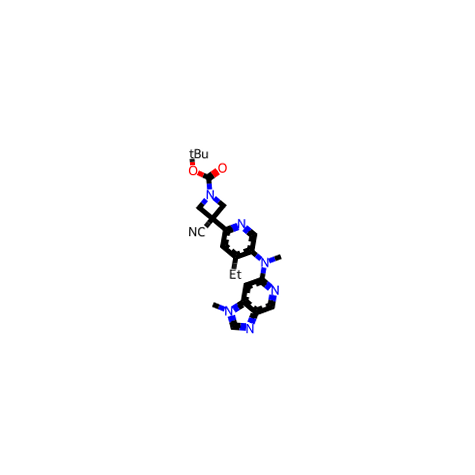 CCc1cc(C2(C#N)CN(C(=O)OC(C)(C)C)C2)ncc1N(C)c1cc2c(cn1)ncn2C